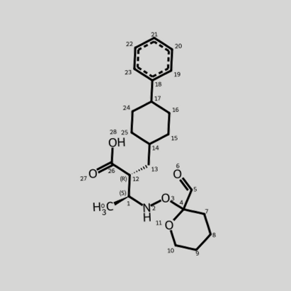 C[C@H](NOC1(C=O)CCCCO1)[C@@H](CC1CCC(c2ccccc2)CC1)C(=O)O